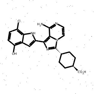 Nc1nccn2c1c(-c1cc3c(O)ccc(Cl)c3[nH]1)nc2[C@H]1CC[C@H](C(=O)O)CC1